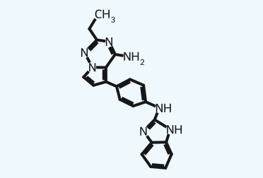 CCc1nc(N)c2c(-c3ccc(Nc4nc5ccccc5[nH]4)cc3)ccn2n1